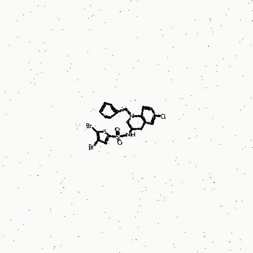 O=S(=O)(NC1Cc2cc(Cl)ccc2N(Cc2ccccc2)C1)c1cc(Br)c(Br)s1